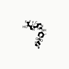 C[C@@H]1CN(S(=O)(=O)c2cn(C)cn2)CC[C@@H]1Nc1ncc(C(F)(F)F)c(-c2ncc(C(O)C(F)F)s2)n1